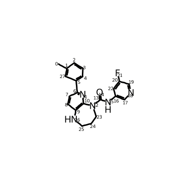 Cc1cccc(-c2ccc3c(n2)N(C(=O)Nc2cncc(F)c2)CCCN3)c1